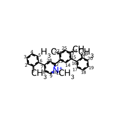 Cc1ccccc1-c1cc[n+](C)c(-c2cc(-c3ccccc3C)c(C)cc2C)c1